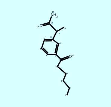 CCCCCC(=O)c1cccc(C(C)C(N)=O)c1